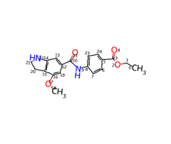 CCOC(=O)c1ccc(NC(=O)c2cc3c(c(OC)c2)CCN3)cc1